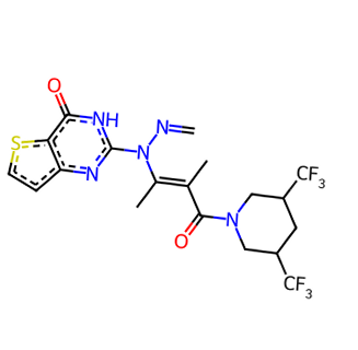 C=NN(/C(C)=C(\C)C(=O)N1CC(C(F)(F)F)CC(C(F)(F)F)C1)c1nc2ccsc2c(=O)[nH]1